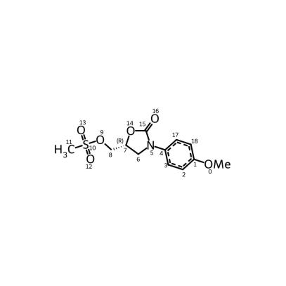 COc1ccc(N2C[C@H](COS(C)(=O)=O)OC2=O)cc1